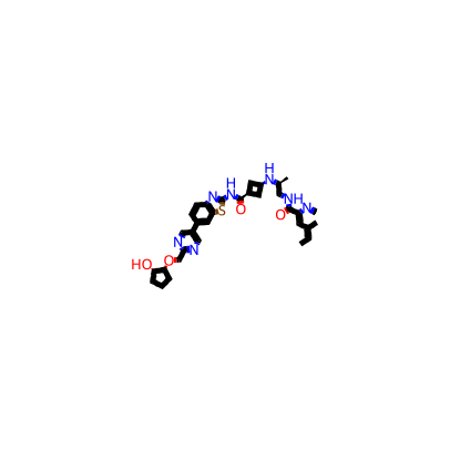 C=N/C(=C\C(C)=C/C)C(=O)NC[C@H](C)N[C@H]1C[C@@H](C(=O)Nc2nc3ccc(-c4cnc(CO[C@H]5CCC[C@@H]5O)nc4)cc3s2)C1